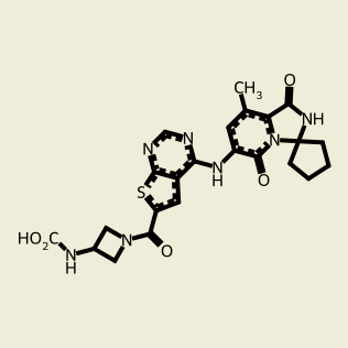 Cc1cc(Nc2ncnc3sc(C(=O)N4CC(NC(=O)O)C4)cc23)c(=O)n2c1C(=O)NC21CCCC1